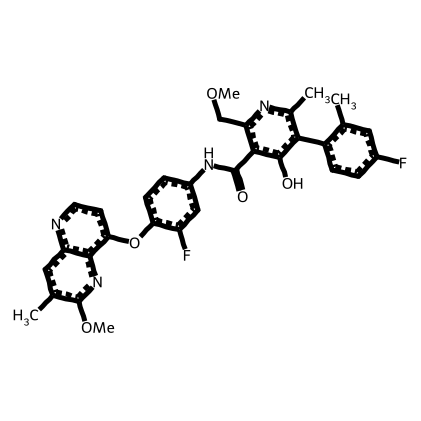 COCc1nc(C)c(-c2ccc(F)cc2C)c(O)c1C(=O)Nc1ccc(Oc2ccnc3cc(C)c(OC)nc23)c(F)c1